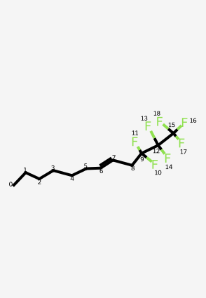 CCCCCCC=CCC(F)(F)C(F)(F)C(F)(F)F